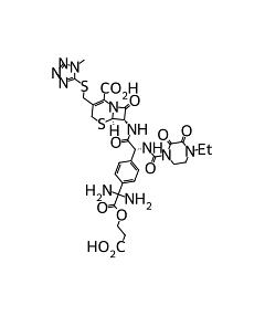 CCN1CCN(C(=O)N[C@@H](C(=O)N[C@@H]2C(=O)N3C(C(=O)O)=C(CSc4nnnn4C)CS[C@H]23)c2ccc(C(N)(N)C(=O)OCCC(=O)O)cc2)C(=O)C1=O